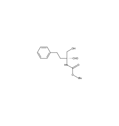 CC(C)(C)OC(=O)N[C@](C=O)(CO)CCc1ccccc1